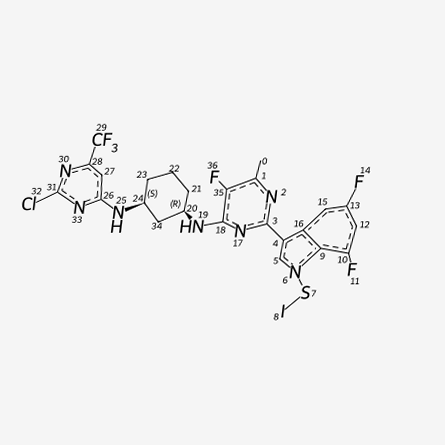 Cc1nc(-c2cn(SI)c3c(F)cc(F)cc23)nc(N[C@@H]2CCC[C@H](Nc3cc(C(F)(F)F)nc(Cl)n3)C2)c1F